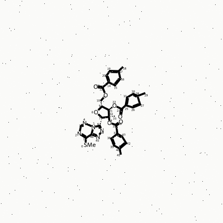 CSc1ncnn2c([C@@H]3O[C@H](COC(=O)c4ccc(C)cc4)[C@@H](OC(=O)c4ccc(C)cc4)[C@@]3(C)OC(=O)c3ccc(C)cc3)nnc12